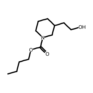 CCCCOC(=O)N1CCCC(CCO)C1